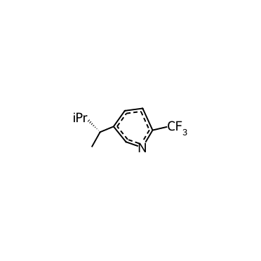 CC(C)[C@@H](C)c1ccc(C(F)(F)F)nc1